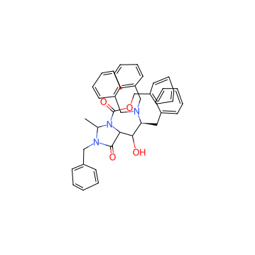 CC1N(Cc2ccccc2)C(=O)C(C(O)[C@H](Cc2ccccc2)N(Cc2ccccc2)Cc2ccccc2)N1C(=O)OCc1ccccc1